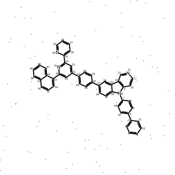 c1ccc(-c2ccc(-n3c4ccncc4c4cc(-c5ccc(-c6cc(-c7ccccn7)nc(-c7cccc8ccccc78)c6)cc5)ccc43)cc2)cc1